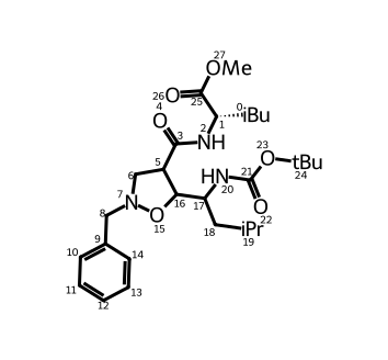 CCC(C)[C@H](NC(=O)C1CN(Cc2ccccc2)OC1C(CC(C)C)NC(=O)OC(C)(C)C)C(=O)OC